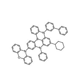 c1ccc(-c2cccc(N3c4ccccc4B4c5ccc(N6c7ccccc7Oc7ccccc76)cc5N(c5ccccc5)c5cc(C6CCCCC6)cc3c54)c2)cc1